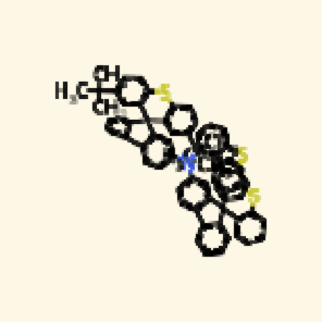 CC(C)(C)c1ccc2c(c1)C1(c3cc(C(C)(C)C)ccc3S2)c2ccccc2-c2ccc(N(c3ccc4c(c3)C3(c5ccccc5Sc5ccccc53)c3ccccc3-4)c3cccc4sc5ccccc5c34)cc21